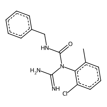 Cc1cccc(Cl)c1N(C(=N)N)C(=O)NCc1ccccc1